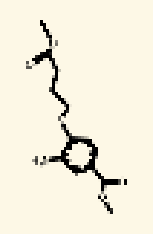 COC(=O)CCCSc1ccc(C(=O)OC)cc1N